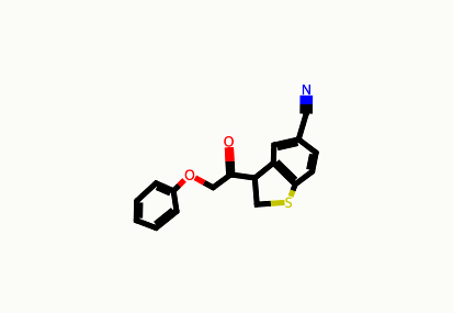 N#Cc1ccc2c(c1)C(C(=O)COc1ccccc1)CS2